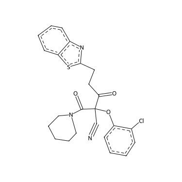 N#CC(Oc1ccccc1Cl)(C(=O)CCc1nc2ccccc2s1)C(=O)N1CCCCC1